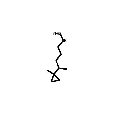 CCCCCCNCCC[C@@H](C)C1(C)CC1